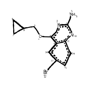 Nc1nc(OCC2CC2)c2cc(Br)ccc2n1